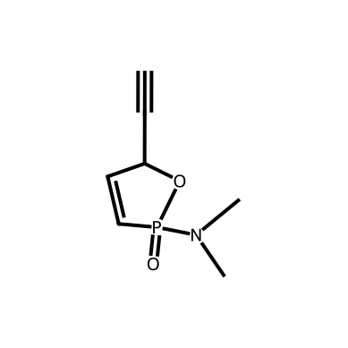 C#CC1C=CP(=O)(N(C)C)O1